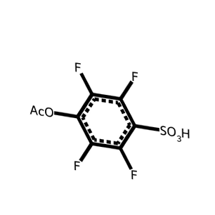 CC(=O)Oc1c(F)c(F)c(S(=O)(=O)O)c(F)c1F